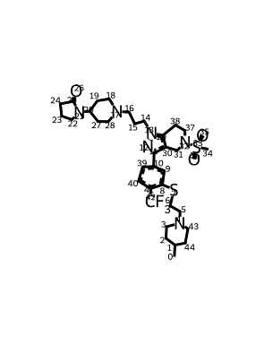 CC1CCN(CCSc2cc(-c3nn(CCCN4CCC(N5CCCC5=O)CC4)c4c3CN(S(C)(=O)=O)CC4)ccc2C(F)(F)F)CC1